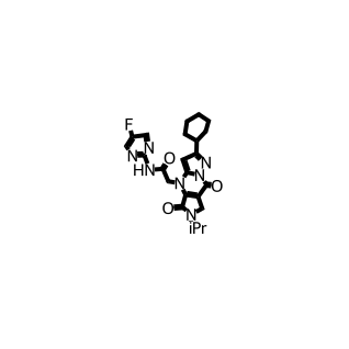 CC(C)N1Cc2c(n(CC(=O)Nc3ncc(F)cn3)c3cc(C4CCCCC4)nn3c2=O)C1=O